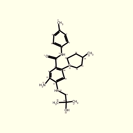 Cc1ccc(NC(=O)c2cc(N)c(NCC(C)(C)O)cc2N2CCC(C)CC2)cc1